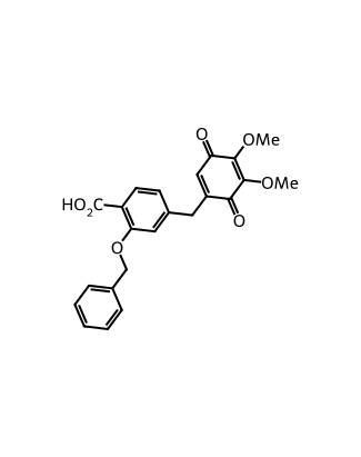 COC1=C(OC)C(=O)C(Cc2ccc(C(=O)O)c(OCc3ccccc3)c2)=CC1=O